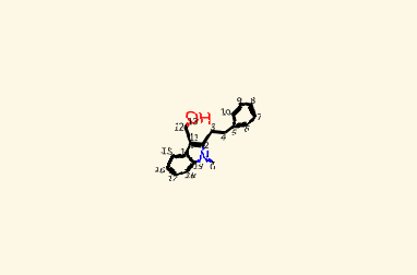 Cn1c(CCc2ccccc2)c(CO)c2ccccc21